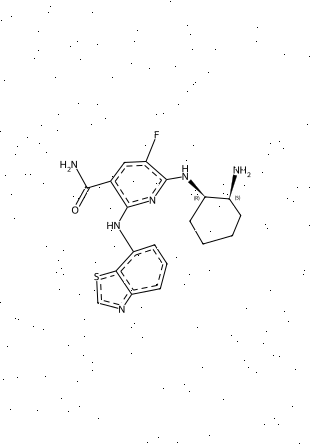 NC(=O)c1cc(F)c(N[C@@H]2CCCC[C@@H]2N)nc1Nc1cccc2ncsc12